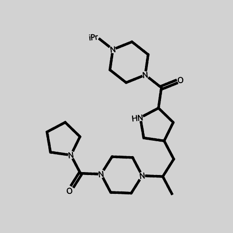 CC(C)N1CCN(C(=O)C2CC(CC(C)N3CCN(C(=O)N4CCCC4)CC3)CN2)CC1